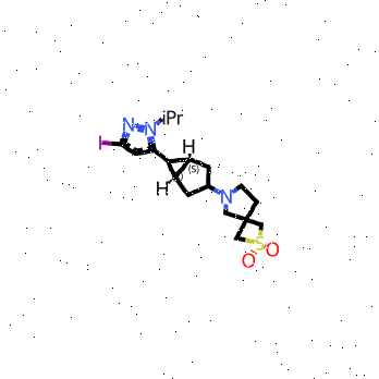 CC(C)n1nc(I)cc1C1[C@H]2CC(N3CCC4(C3)CS(=O)(=O)C4)C[C@@H]12